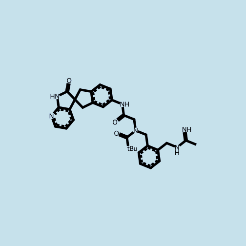 CC(=N)NCc1ccccc1CN(CC(=O)Nc1ccc2c(c1)CC1(C2)C(=O)Nc2ncccc21)C(=O)C(C)(C)C